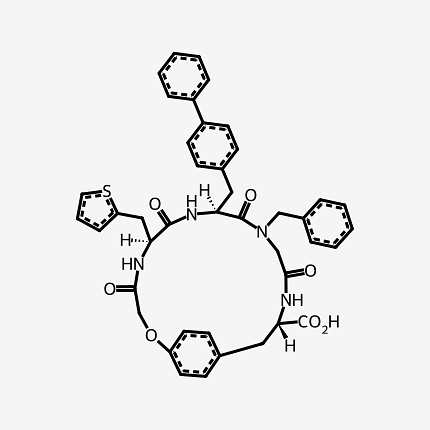 O=C1CN(Cc2ccccc2)C(=O)[C@H](Cc2ccc(-c3ccccc3)cc2)NC(=O)[C@H](Cc2cccs2)NC(=O)COc2ccc(cc2)C[C@@H](C(=O)O)N1